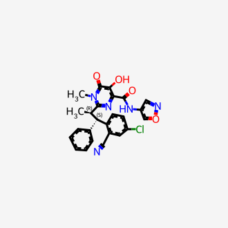 C[C@@H](c1nc(C(=O)Nc2cnoc2)c(O)c(=O)n1C)[C@@H](c1ccccc1)c1ccc(Cl)cc1C#N